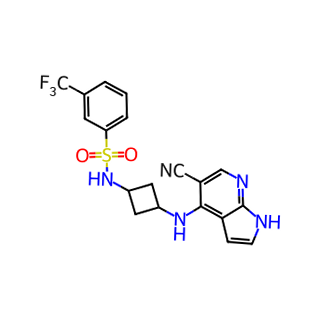 N#Cc1cnc2[nH]ccc2c1NC1CC(NS(=O)(=O)c2cccc(C(F)(F)F)c2)C1